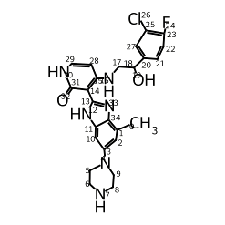 Cc1cc(N2CCNCC2)cc2[nH]c(-c3c(NCC(O)c4ccc(F)c(Cl)c4)cc[nH]c3=O)nc12